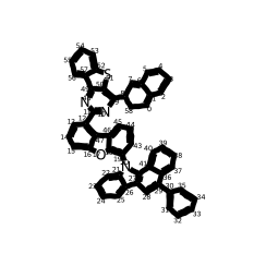 C1=c2ccccc2=CC(c2nc(-c3cccc4oc5c(-n6c7ccccc7c7cc(-c8ccccc8)c8ccccc8c76)cccc5c34)nc3c2sc2ccccc23)C1